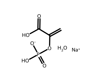 C=C(OP(=O)([O-])O)C(=O)O.O.[Na+]